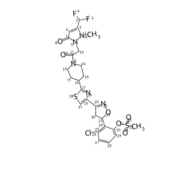 Cn1c(C(F)F)cc(=O)n1CC(=O)N1CCC(c2nc(C3=NOC(c4c(Cl)cccc4OS(C)(=O)=O)C3)cs2)CC1